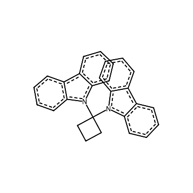 c1ccc2c(c1)c1ccccc1n2C1(n2c3ccccc3c3ccccc32)CCC1